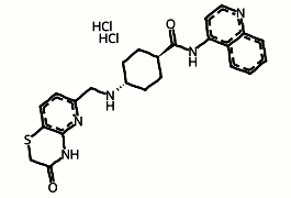 Cl.Cl.O=C1CSc2ccc(CN[C@H]3CC[C@H](C(=O)Nc4ccnc5ccccc45)CC3)nc2N1